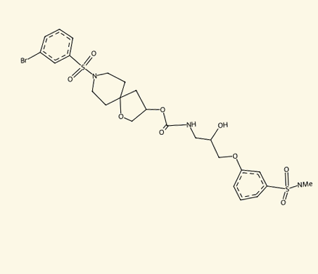 CNS(=O)(=O)c1cccc(OCC(O)CNC(=O)OC2COC3(CCN(S(=O)(=O)c4cccc(Br)c4)CC3)C2)c1